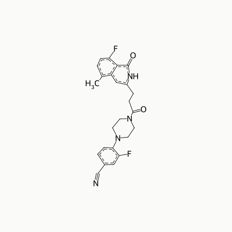 Cc1ccc(F)c2c(=O)[nH]c(CCC(=O)N3CCN(c4ccc(C#N)cc4F)CC3)cc12